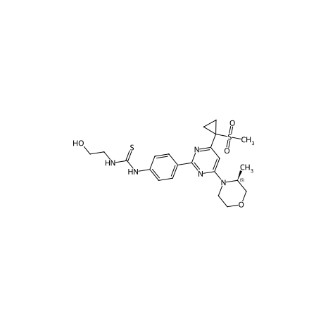 C[C@H]1COCCN1c1cc(C2(S(C)(=O)=O)CC2)nc(-c2ccc(NC(=S)NCCO)cc2)n1